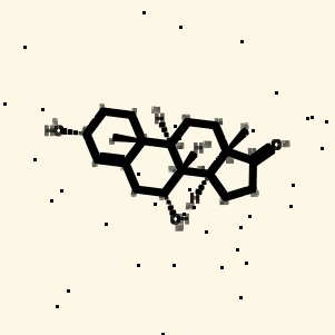 C[C@]12CC[C@@H](O)C=C1C[C@@H](O)[C@@H]1[C@@H]2CC[C@]2(C)C(=O)CC[C@@H]12